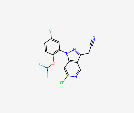 N#CCc1nn(-c2cc(Cl)ccc2OC(F)F)c2cc(Cl)ncc12